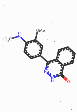 COc1cc(-c2n[nH]c(=O)c3ccccc23)ccc1NC(=O)O